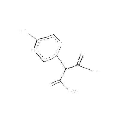 COC(=O)C(C(=O)OC)c1cnc(C)cn1